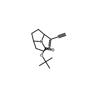 C#CC1=CCCC2CCC1N2C(=O)OC(C)(C)C